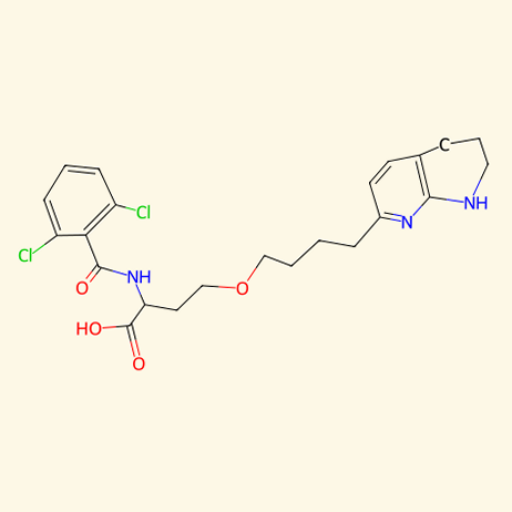 O=C(NC(CCOCCCCc1ccc2c(n1)NCCC2)C(=O)O)c1c(Cl)cccc1Cl